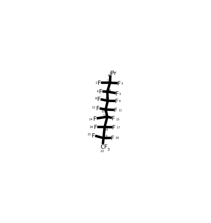 CC(C)C(F)(F)C(F)(F)C(F)(F)C(F)(F)C(F)(F)C(F)(F)C(F)(F)C(F)(F)F